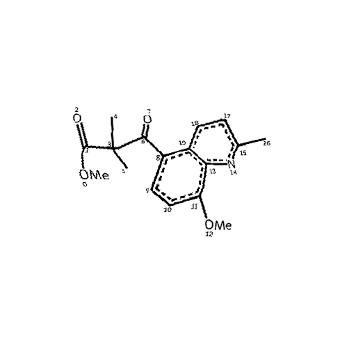 COC(=O)C(C)(C)C(=O)c1ccc(OC)c2nc(C)ccc12